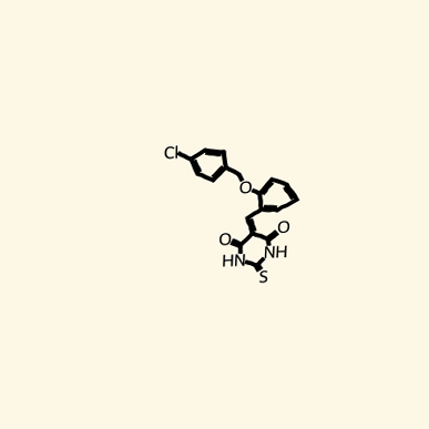 O=C1NC(=S)NC(=O)C1=Cc1ccccc1OCc1ccc(Cl)cc1